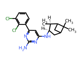 C[C@H]1C2CC(C[C@H]1Nc1cc(-c3cccc(Cl)c3Cl)nc(N)n1)C2(C)C